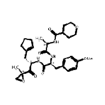 COc1ccc(C[C@H](NC(=O)[C@@H](C)NC(=O)C2CCOCC2)C(=O)N[C@@H](CC2=CCCC2)C(=O)[C@@]2(C)CO2)cc1